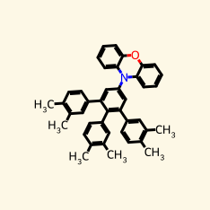 Cc1ccc(-c2cc(N3c4ccccc4Oc4ccccc43)cc(-c3ccc(C)c(C)c3)c2-c2ccc(C)c(C)c2)cc1C